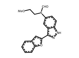 COCCN(C=O)c1ccc2[nH]nc(-c3cc4ccccc4o3)c2c1